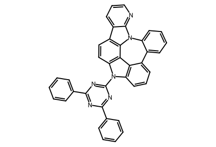 c1ccc(-c2nc(-c3ccccc3)nc(-n3c4cccc5c6ccccc6n6c7ncccc7c7ccc3c(c54)c76)n2)cc1